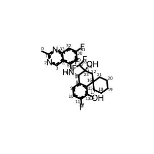 Cc1ncc2c(N[C@H]3c4ccc(F)c(O)c4C4(CCCCC4)C[C@@]3(O)C(F)(F)F)cc(F)cc2n1